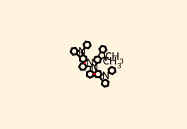 CC1(C)c2ccccc2-c2cc3c(cc21)N(c1ccc2c4ccccc4n(-c4ccccc4)c2c1)C(c1ccccc1)(c1ccccc1)N3c1ccc2c3ccccc3n(-c3ccccc3)c2c1